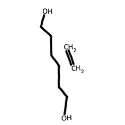 C=C.OCCCCCCO